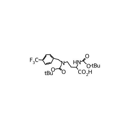 CC(C)(C)OC(=O)NC(CCN(Cc1ccc(C(F)(F)F)cc1)C(=O)OC(C)(C)C)C(=O)O